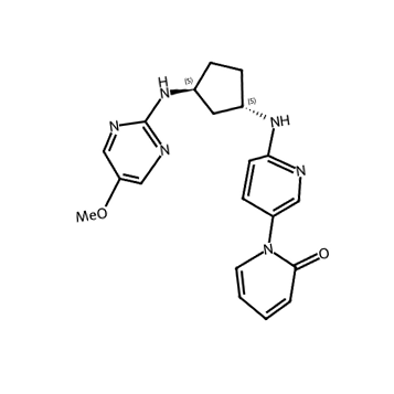 COc1cnc(N[C@H]2CC[C@H](Nc3ccc(-n4ccccc4=O)cn3)C2)nc1